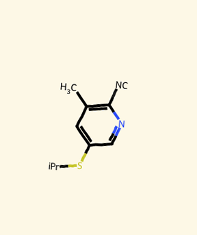 [C-]#[N+]c1ncc(SC(C)C)cc1C